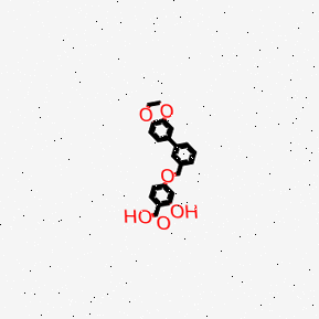 O=C(O)c1ccc(OCc2cccc(-c3ccc4c(c3)OCCO4)c2)cc1O